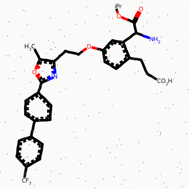 Cc1oc(-c2ccc(-c3ccc(C(F)(F)F)cc3)cc2)nc1CCOc1ccc(CCC(=O)O)c(C(N)C(=O)OC(C)C)c1